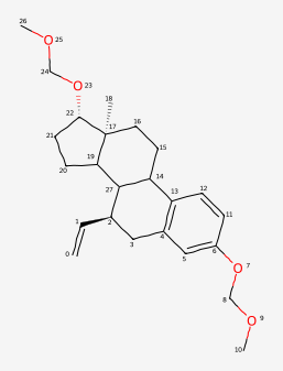 C=C[C@@H]1Cc2cc(OCOC)ccc2C2CC[C@@]3(C)C(CC[C@@H]3OCOC)C21